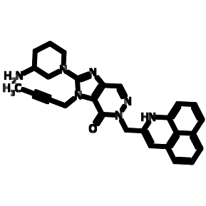 CC#CCn1c(N2CCCC(N)C2)nc2cnn(CC3=Cc4cccc5cccc(c45)N3)c(=O)c21